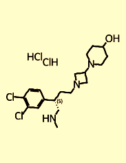 CNC[C@@H](CCN1CC(N2CCC(O)CC2)C1)c1ccc(Cl)c(Cl)c1.Cl.Cl